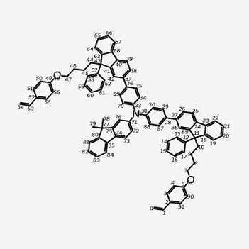 C=Cc1ccc(OCCCCC2(c3ccccc3)c3ccccc3-c3ccc(-c4ccc(N(c5ccc(-c6ccc7c(c6)C(CCCCOc6ccc(C=C)cc6)(c6ccccc6)c6ccccc6-7)cc5)c5ccc6c(c5)C(C)(C)c5ccccc5-6)cc4)cc32)cc1